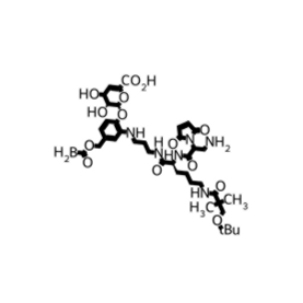 BC(=O)OCc1ccc(O[C@@H]2OC(C(=O)O)=CC(O)[C@H]2O)c(NCCCNC(=O)[C@H](CCCCNC(=O)C(C)(C)COC(C)(C)C)NC(=O)C(CN)N2C(=O)C=CC2=O)c1